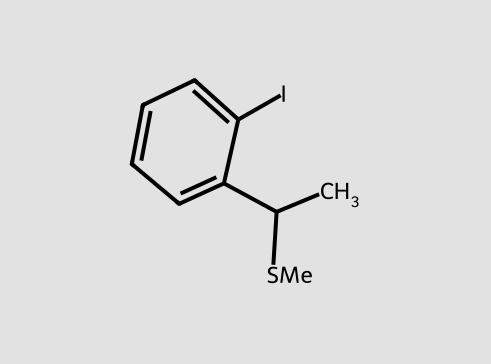 CSC(C)c1ccccc1I